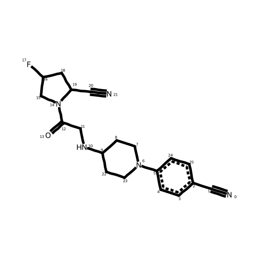 N#Cc1ccc(N2CCC(NCC(=O)N3CC(F)CC3C#N)CC2)cc1